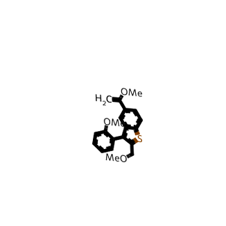 C=C(OC)c1ccc2sc(COC)c(-c3ccccc3OC)c2c1